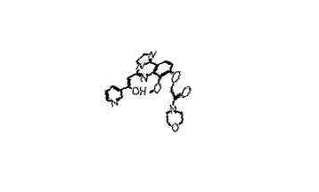 COc1c(OCC(=O)N2CCOCC2)ccc2c1N=C(/C=C(\O)c1cccnc1)N1CCN=C21